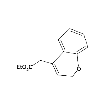 CCOC(=O)CC1=CCOc2ccccc21